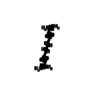 COc1cc(Cc2cnc(N)nc2N)cc(OC)c1OCCCCC(=O)NCCNC(=O)CCCCOc1c(OC)cc(Cc2cnc(N)nc2N)cc1OC